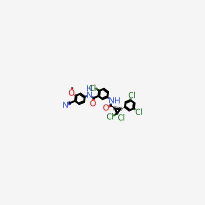 COc1cc(NC(=O)c2cc(NC(=O)[C@H]3[C@H](c4cc(Cl)cc(Cl)c4)C3(Cl)Cl)ccc2Cl)ccc1C#N